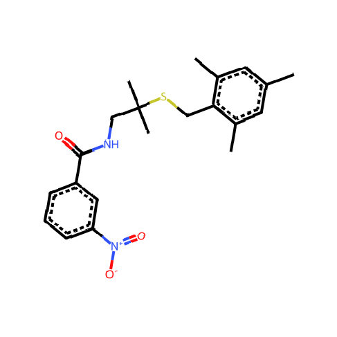 Cc1cc(C)c(CSC(C)(C)CNC(=O)c2cccc([N+](=O)[O-])c2)c(C)c1